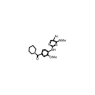 CNc1nc(Nc2ccc(C(=O)N3CCCCC3)cc2OC)ncc1C(C)=O